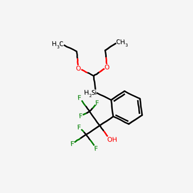 CCOC(OCC)[SiH2]c1ccccc1C(O)(C(F)(F)F)C(F)(F)F